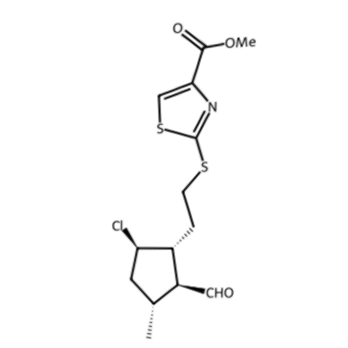 COC(=O)c1csc(SCC[C@@H]2[C@@H](C=O)[C@H](C)C[C@H]2Cl)n1